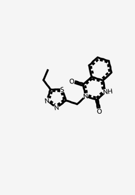 CCc1nnc(Cn2c(=O)[nH]c3ccccc3c2=O)s1